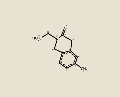 Cc1ccc2c(c1)CC(=O)N(CC(=O)O)C2